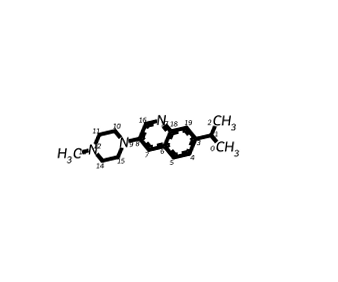 CC(C)c1ccc2cc(N3CCN(C)CC3)cnc2c1